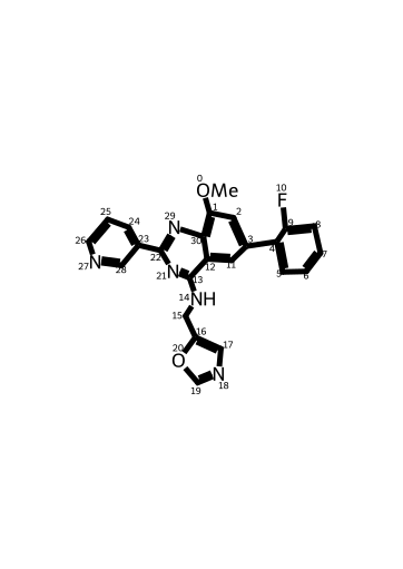 COc1cc(-c2ccccc2F)cc2c(NCc3cnco3)nc(-c3cccnc3)nc12